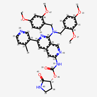 COc1ccc(CN(Cc2ccc(OC)cc2OC)c2nc(-c3cnccc3C)cc3cc(NC(=O)O[C@@H]4CCNC4=O)ncc23)c(OC)c1